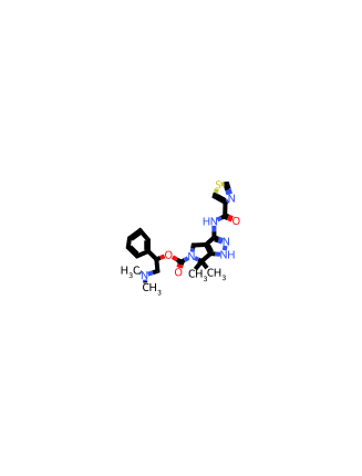 CN(C)CC(OC(=O)N1Cc2c(NC(=O)c3cscn3)n[nH]c2C1(C)C)c1ccccc1